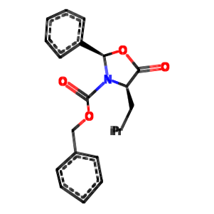 CC(C)C[C@@H]1C(=O)O[C@H](c2ccccc2)N1C(=O)OCc1ccccc1